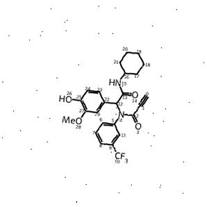 C#CC(=O)N(c1cccc(C(F)(F)F)c1)C(C(=O)NC1CCCCC1)c1ccc(O)c(OC)c1